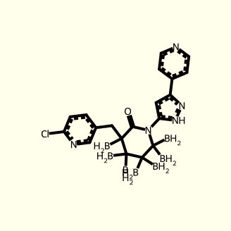 BC1(Cc2ccc(Cl)nc2)C(=O)N(c2cc(-c3ccncc3)n[nH]2)C(B)(B)C(B)(B)C1(B)B